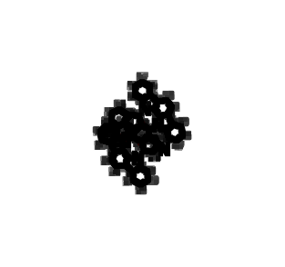 N#Cc1cc(-n2c3ccccc3c3ccc4c5ccccc5n(-c5ccccc5)c4c32)c(-c2ccccc2C(F)(F)F)cc1-n1c2ccccc2c2ccc3c4ccccc4n(-c4ccccc4)c3c21